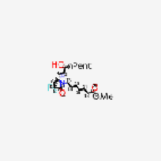 CCCCCC(O)/C=C/[C@H]1CC(F)(F)C(=O)N1CCCCCCC(=O)OC